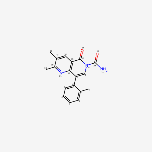 Cc1ccccc1-c1cn(C(N)=O)c(=O)c2cc(C)c(C)nc12